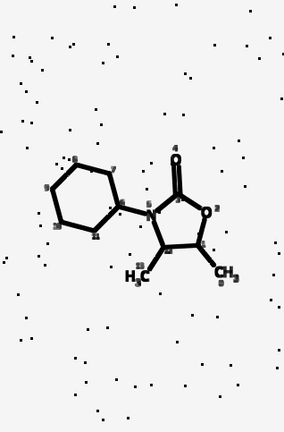 CC1OC(=O)N(C2CCCCC2)C1C